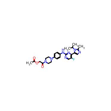 CC(=O)OCC(=O)N1CCN(c2ccc(Nc3ncc(F)c(-c4cnc(C)n4C(C)C)n3)cc2)CC1